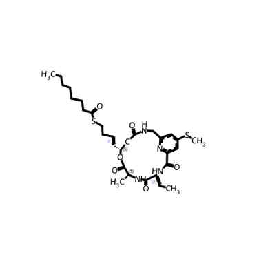 C/C=C1\NC(=O)c2cc(SC)cc(n2)CNC(=O)C[C@@H](/C=C/CCSC(=O)CCCCCCC)OC(=O)[C@H](C)NC1=O